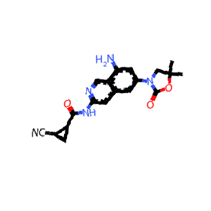 CC1(C)CN(c2cc(N)c3cnc(NC(=O)C4CC4C#N)cc3c2)C(=O)O1